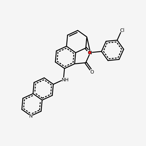 O=C1c2c3ccc(Nc4ccc5ccncc5c4)c2C(=O)N(c2cccc(Cl)c2)C1C=C3